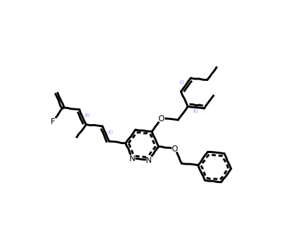 C=C(F)/C=C(C)/C=C/c1cc(OCC(/C=C\CC)=C/C)c(OCc2ccccc2)nn1